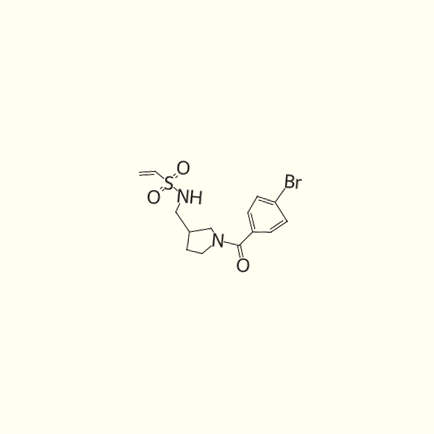 C=CS(=O)(=O)NCC1CCN(C(=O)c2ccc(Br)cc2)C1